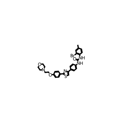 Cc1ccc(NC(=O)Nc2ccc(-c3csc(-c4ccc(OCCN5CCOCC5)cc4)n3)cc2)c(Br)c1